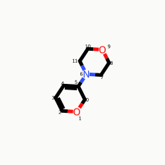 [CH]1OC=CC=C1N1CCOCC1